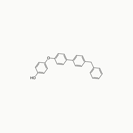 Oc1ccc(Oc2ccc(-c3ccc(Cc4ccccc4)cc3)cc2)cc1